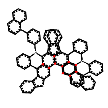 c1cc(-c2cccc3ccccc23)cc(N(c2ccccc2-c2cccc3oc4ccccc4c23)c2ccc(-c3ccc4c(-c5ccccc5N(c5ccccc5-c5cccc6oc7ccccc7c56)c5cccc6oc7ccccc7c56)cccc4c3)c3oc4ccccc4c23)c1